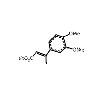 CCOC(=O)/C=C(\C)c1ccc(OC)c(OC)c1